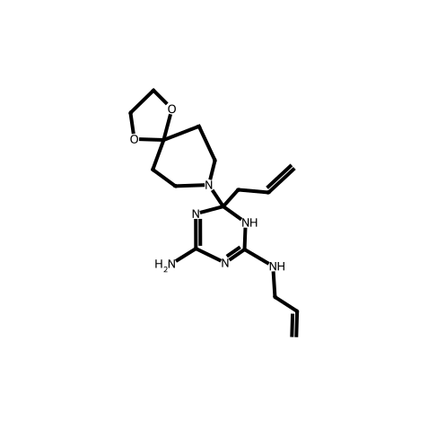 C=CCNC1=NC(N)=NC(CC=C)(N2CCC3(CC2)OCCO3)N1